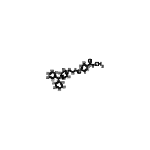 CCC(=O)c1ccc(OCCCN2CCN(C(c3ccccc3)c3ccccc3)CC2)cc1